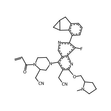 C=CC(=O)N1CCN(c2c(CC#N)c(OCC3CCCN3C)nc3c(F)c(-c4cccc5c4C4CC4C5)ncc23)CC1CC#N